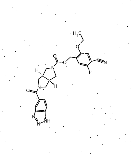 CCOc1cc(C#N)c(F)cc1COC(=O)N1C[C@@H]2CN(C(=O)c3ccc4[nH]nnc4c3)C[C@H]2C1